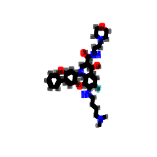 CN(C)CCCCNc1c(F)cc2c(=O)c(C(=O)NCCN3CCOCC3)cn3c2c1Oc1cc2c(cc1-3)oc1ccccc12